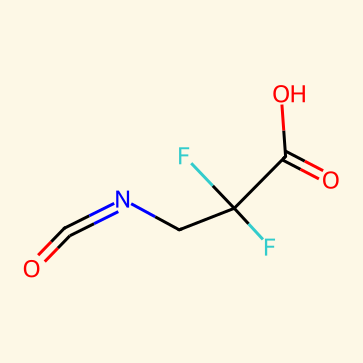 O=C=NCC(F)(F)C(=O)O